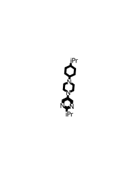 CC(C)c1ncc(N2CCN(C3CCC(C(C)C)CC3)CC2)cn1